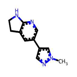 Cn1cc(-c2cnc3c(c2)CCN3)cn1